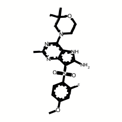 COc1ccc(S(=O)(=O)c2c(N)[nH]c3c(N4CCOC(C)(C)C4)nc(C)nc23)c(F)c1